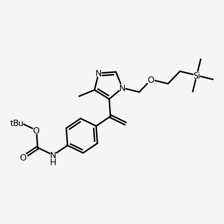 C=C(c1ccc(NC(=O)OC(C)(C)C)cc1)c1c(C)ncn1COCC[Si](C)(C)C